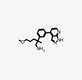 COCCCC(C)(CN)c1cccc(-c2ccnc3[nH]ncc23)c1